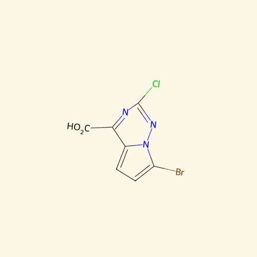 O=C(O)c1nc(Cl)nn2c(Br)ccc12